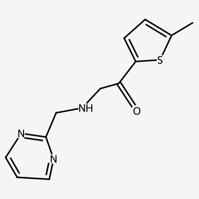 Cc1ccc(C(=O)CNCc2ncccn2)s1